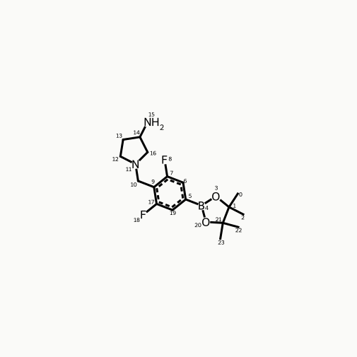 CC1(C)OB(c2cc(F)c(CN3CCC(N)C3)c(F)c2)OC1(C)C